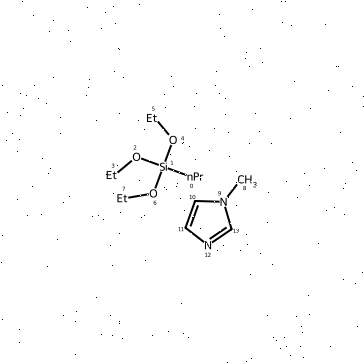 CCC[Si](OCC)(OCC)OCC.Cn1ccnc1